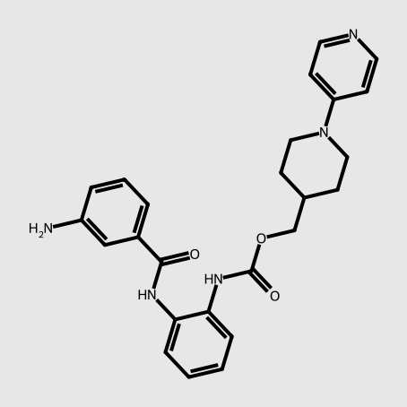 Nc1cccc(C(=O)Nc2ccccc2NC(=O)OCC2CCN(c3ccncc3)CC2)c1